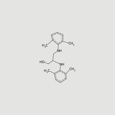 Cc1cccc(C)c1NCC(CO)Nc1c(C)cccc1C